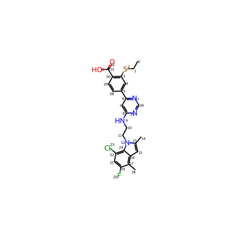 CCSc1cc(-c2cc(NCCn3c(C)cc4c(C)c(F)cc(Cl)c43)ncn2)ccc1C(=O)O